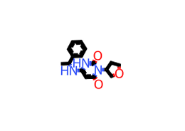 CC(Nc1cc(=O)n(C2CCOC2)c(=O)[nH]1)c1ccccc1